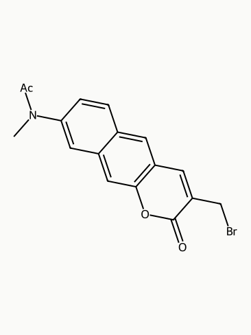 CC(=O)N(C)c1ccc2cc3cc(CBr)c(=O)oc3cc2c1